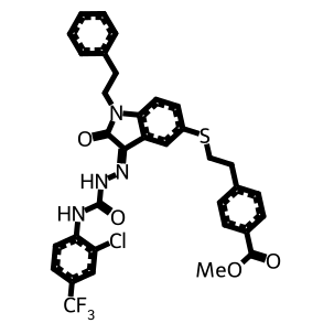 COC(=O)c1ccc(CCSc2ccc3c(c2)C(=NNC(=O)Nc2ccc(C(F)(F)F)cc2Cl)C(=O)N3CCc2ccccc2)cc1